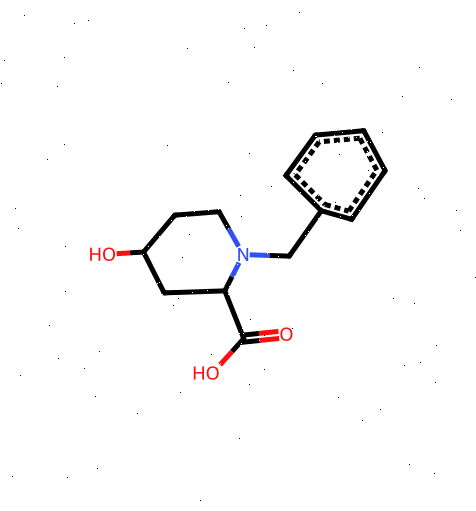 O=C(O)C1CC(O)CCN1Cc1ccccc1